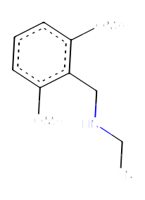 COc1cccc(OC)c1CNCC#N